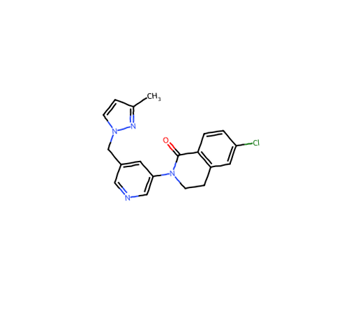 Cc1ccn(Cc2cncc(N3CCc4cc(Cl)ccc4C3=O)c2)n1